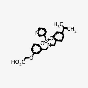 C=C(C)c1ccc(CN(Cc2cccc(OCC(=O)O)c2)S(=O)(=O)c2cccnc2)cc1